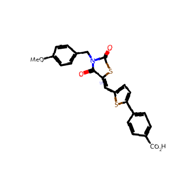 COc1ccc(CN2C(=O)S/C(=C\c3ccc(-c4ccc(C(=O)O)cc4)s3)C2=O)cc1